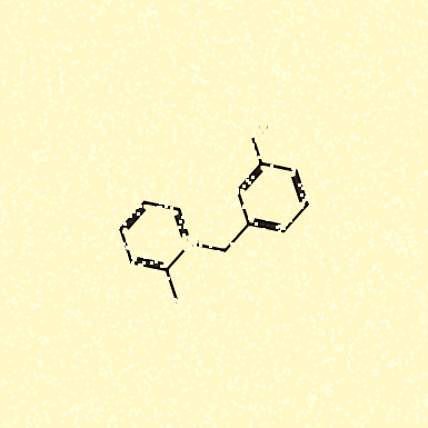 COc1cccc(C[n+]2ccccc2C)c1.[Cl-]